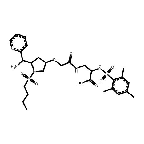 CCCCS(=O)(=O)N1CC(OCC(=O)NCC(NS(=O)(=O)c2c(C)cc(C)cc2C)C(=O)O)CC1C(N)c1ccccn1